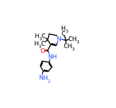 CC1(C)CCN(C(C)(C)C)C=C1C(=O)Nc1ccc(N)cc1